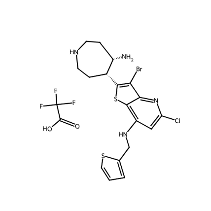 N[C@H]1CCNCC[C@H]1c1sc2c(NCc3cccs3)cc(Cl)nc2c1Br.O=C(O)C(F)(F)F